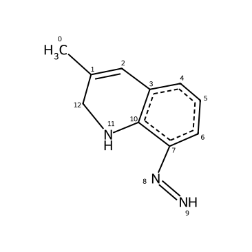 CC1=Cc2cccc(N=N)c2NC1